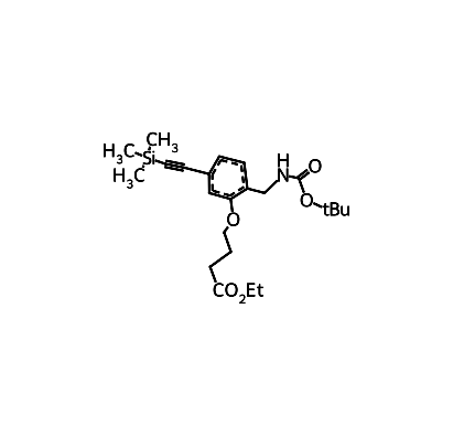 CCOC(=O)CCCOc1cc(C#C[Si](C)(C)C)ccc1CNC(=O)OC(C)(C)C